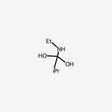 CCNC(O)(O)C(C)C